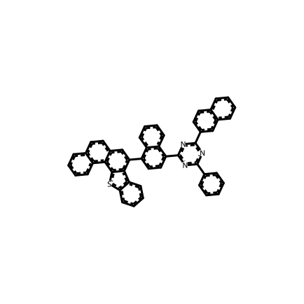 c1ccc(-c2nc(-c3ccc4ccccc4c3)nc(-c3ccc(-c4cc5ccc6ccccc6c5c5sc6ccccc6c45)c4ccccc34)n2)cc1